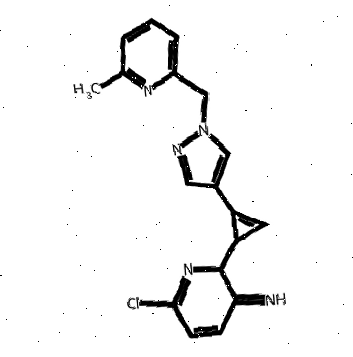 Cc1cccc(Cn2cc(C3=CC3C3N=C(Cl)C=CC3=N)cn2)n1